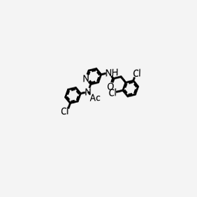 CC(=O)N(c1cccc(Cl)c1)c1cc(NC(=O)Cc2c(Cl)cccc2Cl)ccn1